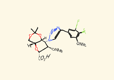 COc1cc(-c2cn([C@H]3[C@H]4OC(C)(C)OC[C@H]4O[C@@H](C(=O)O)[C@@H]3OC)nn2)cc(F)c1F